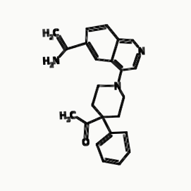 C=C(N)c1ccc2cncc(N3CCC(C(C)=O)(c4ccccc4)CC3)c2c1